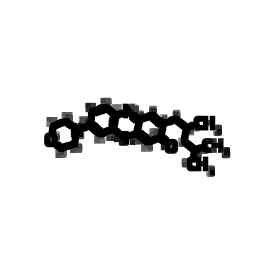 CC(C)CC(C)Cc1cc2nc3ccc(N4CCOCC4)cc3sc-2cc1=O